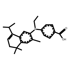 CCN(c1ccc(C(=O)O)cc1)c1cc2c(cc1C)C(C)(C)CC=C2C(C)C